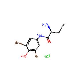 CC(C)C[C@H](N)C(=O)Nc1cc(Br)c(O)c(Br)c1.Cl